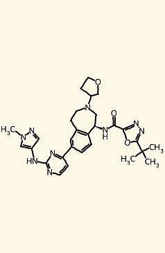 Cn1cc(Nc2nccc(-c3ccc4c(c3)CCN(C3CCOC3)C[C@H]4NC(=O)c3nnc(C(C)(C)C)o3)n2)cn1